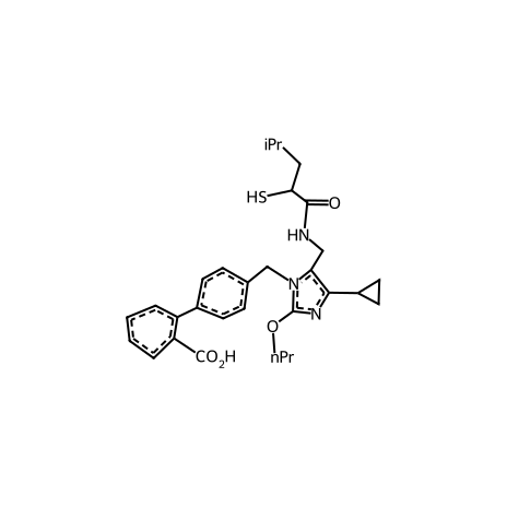 CCCOc1nc(C2CC2)c(CNC(=O)C(S)CC(C)C)n1Cc1ccc(-c2ccccc2C(=O)O)cc1